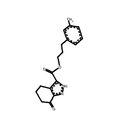 Cc1cccc(CCCOC(=O)c2[nH]nc3c2CCCC3=O)c1